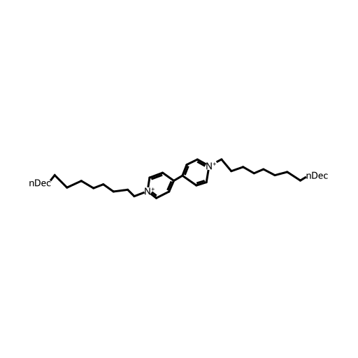 CCCCCCCCCCCCCCCCCC[n+]1ccc(-c2cc[n+](CCCCCCCCCCCCCCCCCC)cc2)cc1